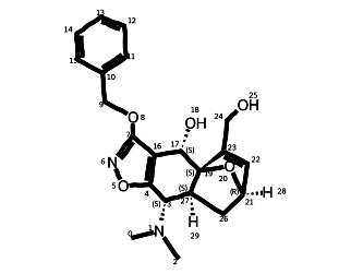 CN(C)[C@@H]1c2onc(OCc3ccccc3)c2[C@H](O)[C@@]23O[C@@H](C=C2CO)C[C@@H]13